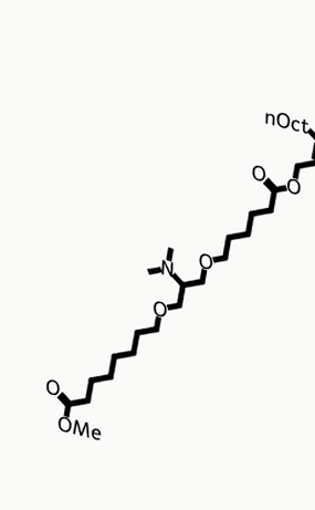 CCCCCCCC/C=C\COC(=O)CCCCCOCC(COCCCCCCCC(=O)OC)N(C)C